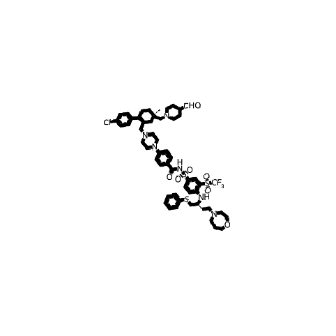 C[C@@]1(CN2CCC(C=O)CC2)CCC(c2ccc(Cl)cc2)=C(CN2CCN(c3ccc(C(=O)NS(=O)(=O)c4ccc(N[C@H](CCN5CCCOCC5)CSc5ccccc5)c(S(=O)(=O)C(F)(F)F)c4)cc3)CC2)C1